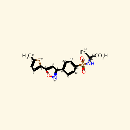 Cc1ccc(-c2cc(-c3ccc(S(=O)(=O)NC(C(=O)O)C(C)C)cc3)no2)s1